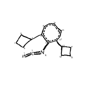 N=C=Nc1c(C2CCC2)cccc1C1CCC1